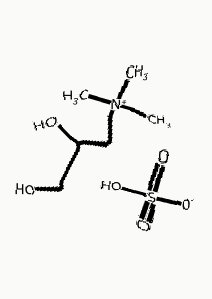 C[N+](C)(C)CC(O)CO.O=S(=O)([O-])O